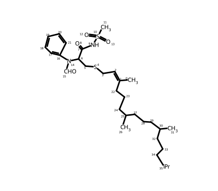 CC(=CCSCC(C(=O)NS(C)(=O)=O)N(C=O)c1ccccc1)CCCC(C)CCCC(C)CCCC(C)C